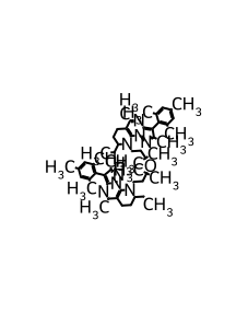 CCC1CCc2c(C)nc3c(-c4c(C)cc(C)cc4C)c(C)nn3c2N1CCC(C)(C)OC(C)(C)CCN1c2c(c(C)nc3c(-c4c(C)cc(C)cc4C)c(C)nn23)CCC1CC